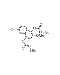 CCCCOC(=O)Oc1cc(OC)c(OC(=O)OCCCC)c2ccc(Cl)cc12